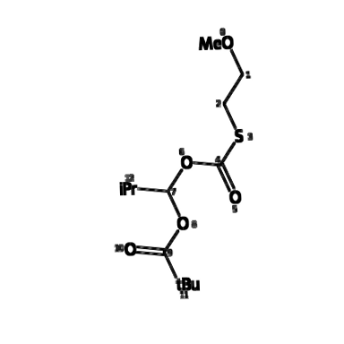 COCCSC(=O)OC(OC(=O)C(C)(C)C)C(C)C